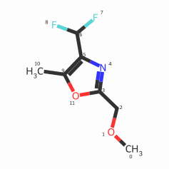 COCc1nc(C(F)F)c(C)o1